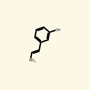 O=[N+]([O-])C=Cc1cccc(O)c1